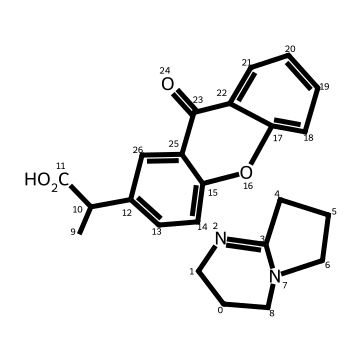 C1CN=C2CCCN2C1.CC(C(=O)O)c1ccc2oc3ccccc3c(=O)c2c1